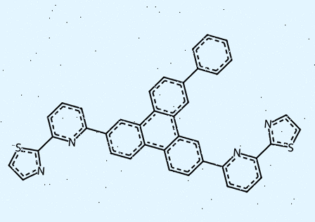 c1ccc(-c2ccc3c(c2)c2cc(-c4cccc(-c5nccs5)n4)ccc2c2ccc(-c4cccc(-c5nccs5)n4)cc23)cc1